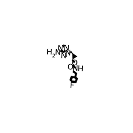 Nc1ncnc2c1ncn2C[C@H]1C[C@H]1COC(=O)NCCc1ccc(F)cc1